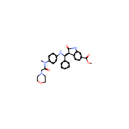 COC(=O)c1ccc2c(c1)NC(=O)/C2=C(\Nc1ccc(N(C)C(=O)CN2CCOCC2)cc1)c1ccccc1